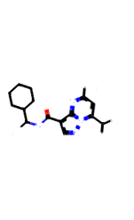 Cc1cc(C(C)C)n2ncc(C(=O)NC(C)C3CCCCC3)c2n1